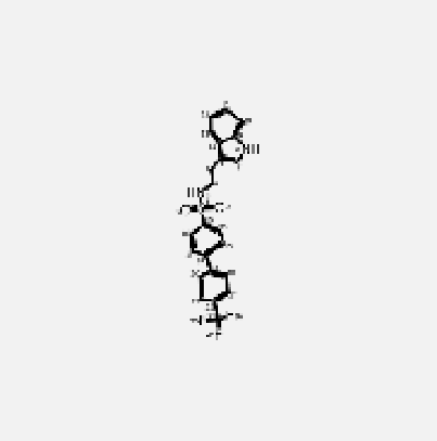 O=S(=O)(NCCc1c[nH]c2ccccc12)c1ccc(-c2ccc(C(F)(F)F)cc2)cc1